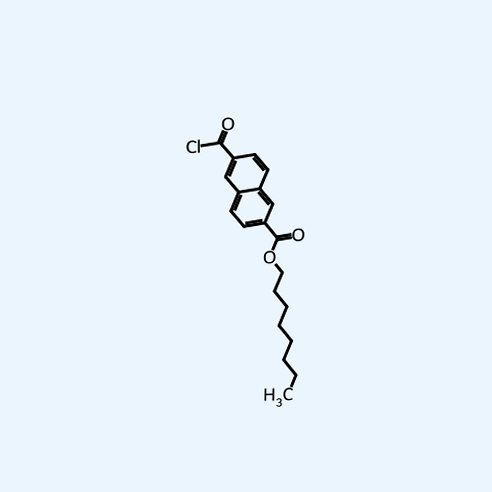 CCCCCCCCOC(=O)c1ccc2cc(C(=O)Cl)ccc2c1